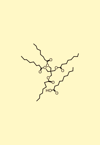 CCCCCCCC(=O)OCC(COC(=O)CCCCCCC)(COC(=O)CCCCCCC)COC(=O)CCCCCCC.CCCCCCCCCC(=O)O